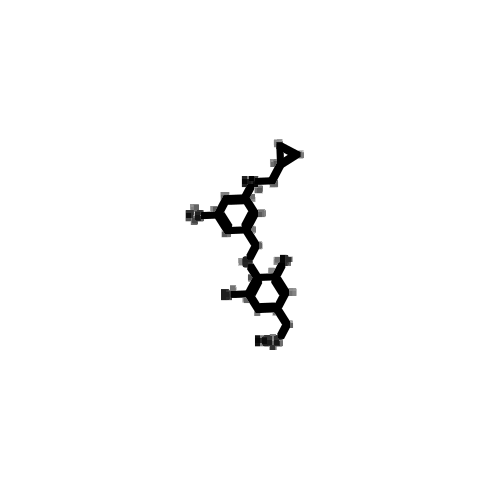 O=C(O)Cc1cc(Br)c(OCc2cc(NCC3CC3)cc(C(F)(F)F)c2)c(Br)c1